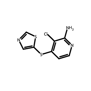 Nc1nccc(Sc2cncs2)c1Cl